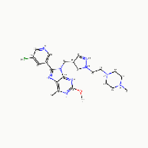 CCOc1nc(C)c2nc(-c3cncc(F)c3)n(CC3C=NN(CCN4CCN(C)CC4)C3)c2n1